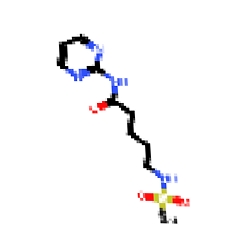 CC(C)(C)S(=O)(=O)NCCCCC(=O)Nc1ncccn1